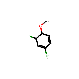 CCCCOC1C=CC(Br)=CC1F